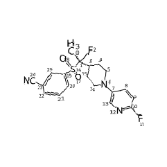 CC(F)(C1CCN(c2ccc(F)nc2)CC1)S(=O)(=O)c1cccc(C#N)c1